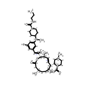 CCCNC(=O)N1CCC(N(C)c2cc(F)cc(/C=C(\C)[C@H]3OC(=O)C[C@@H](O)CC[C@@H](C)[C@@H](C4CN(C)CCN4C(=O)O)/C=C/[C@@H]3C)c2)CC1